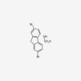 Brc1ccc2c(c1)Cc1cc(Br)ccc1-2.O=S(=O)(O)O